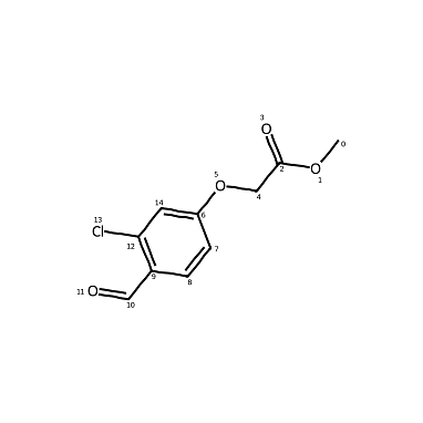 COC(=O)COc1ccc(C=O)c(Cl)c1